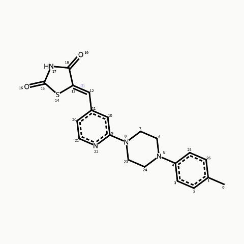 Cc1ccc(N2CCN(c3cc(/C=C4\SC(=O)NC4=O)ccn3)CC2)cc1